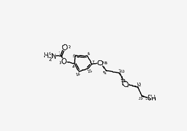 NC(=O)Oc1ccc(OCCOCCS)cc1